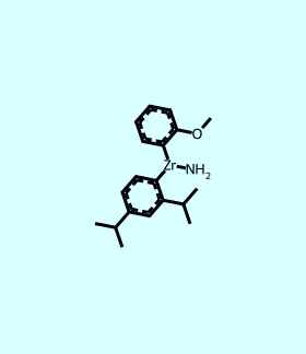 COc1cccc[c]1[Zr]([NH2])[c]1ccc(C(C)C)cc1C(C)C